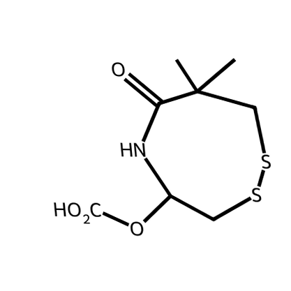 CC1(C)CSSCC(OC(=O)O)NC1=O